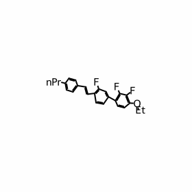 CCCc1ccc(C=Cc2ccc(-c3ccc(OCC)c(F)c3F)cc2F)cc1